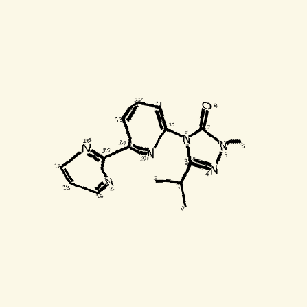 CC(C)c1nn(C)c(=O)n1-c1cccc(-c2ncccn2)n1